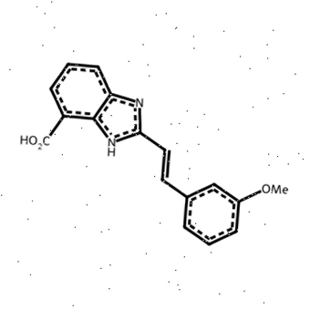 COc1cccc(C=Cc2nc3cccc(C(=O)O)c3[nH]2)c1